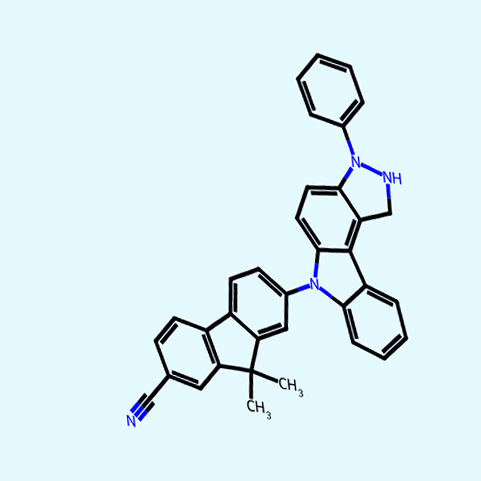 CC1(C)c2cc(C#N)ccc2-c2ccc(-n3c4ccccc4c4c5c(ccc43)N(c3ccccc3)NC5)cc21